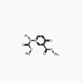 CC(C)N(C(=O)OC(C)(C)C)n1ccc(=O)c(C(=O)OC(C)(C)C)c1